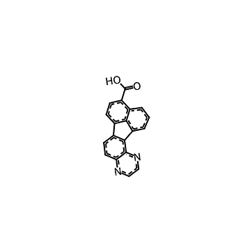 O=C(O)c1ccc2c3c(cccc13)-c1c-2ccc2nccnc12